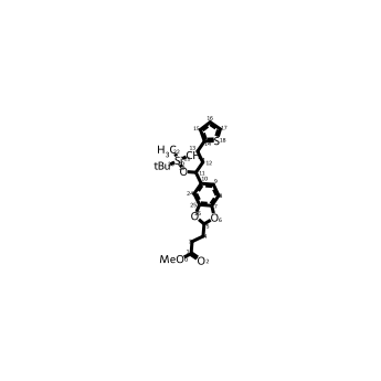 COC(=O)CCC1Oc2ccc(C(CCc3cccs3)O[Si](C)(C)C(C)(C)C)cc2O1